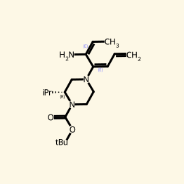 C=C/C=C(\C(N)=C/C)N1CCN(C(=O)OC(C)(C)C)[C@H](C(C)C)C1